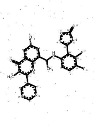 Cc1cc(C(C)Nc2ccc(F)c(F)c2-c2noc(=O)[nH]2)c2oc(-c3cncnc3)c(C)c(=O)c2c1